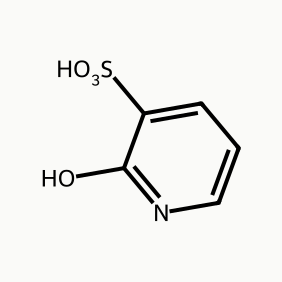 O=S(=O)(O)c1cccnc1O